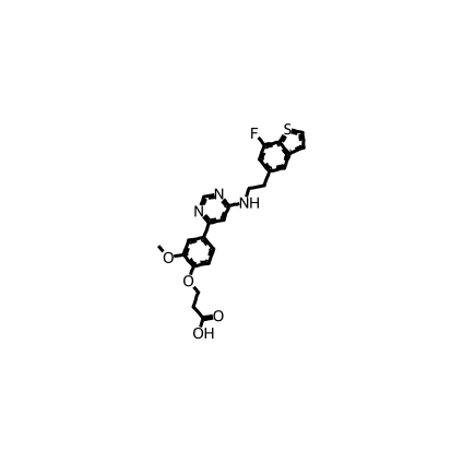 COc1cc(-c2cc(NCCc3cc(F)c4sccc4c3)ncn2)ccc1OCCC(=O)O